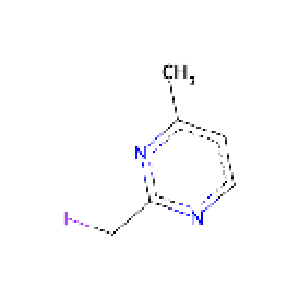 Cc1ccnc(CI)n1